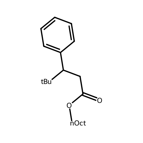 CCCCCCCCOC(=O)CC(c1ccccc1)C(C)(C)C